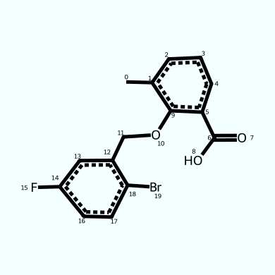 Cc1cccc(C(=O)O)c1OCc1cc(F)ccc1Br